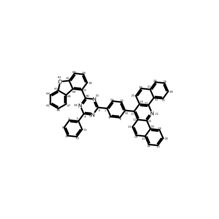 c1ccc(-c2nc(-c3ccc(-c4c5ccc6ccccc6c5nc5c4ccc4ccccc45)cc3)nc(-c3cccc4oc5ccccc5c34)n2)cc1